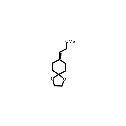 COCC=C1CCC2(CC1)OCCO2